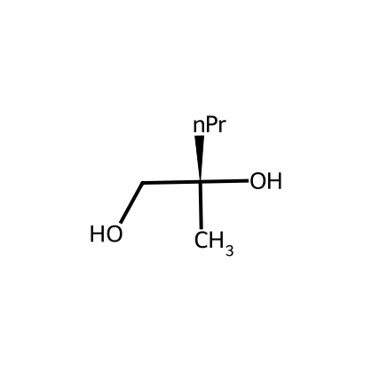 CCC[C@](C)(O)CO